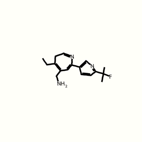 CCC1=C(CN)C=C(c2ccc(C(C)(C)F)nc2)N=CC1